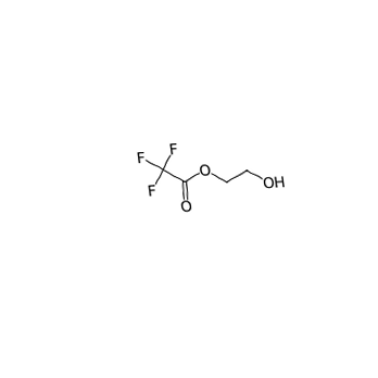 O=C(OCCO)C(F)(F)F